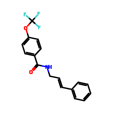 O=C(NCC=Cc1ccccc1)c1ccc(OC(F)(F)F)cc1